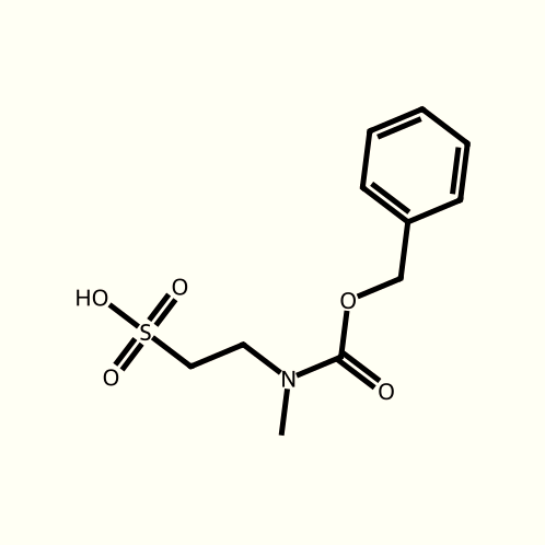 CN(CCS(=O)(=O)O)C(=O)OCc1ccccc1